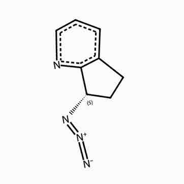 [N-]=[N+]=N[C@H]1CCc2cccnc21